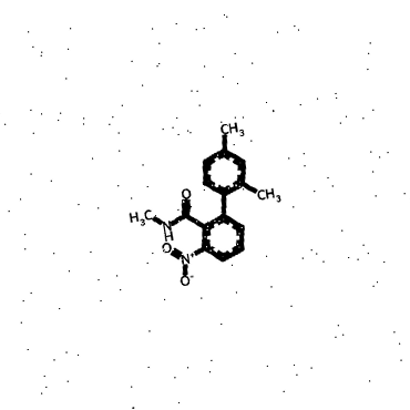 CNC(=O)c1c(-c2ccc(C)cc2C)cccc1[N+](=O)[O-]